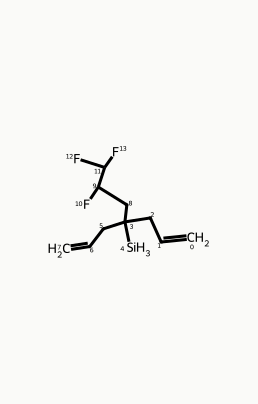 C=CCC([SiH3])(CC=C)CC(F)C(F)F